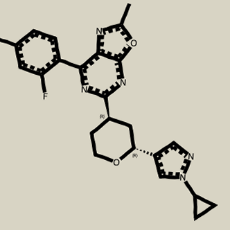 Cc1nc2c(-c3ccc(F)cc3F)nc([C@@H]3CCO[C@@H](c4cnn(C5CC5)c4)C3)nc2o1